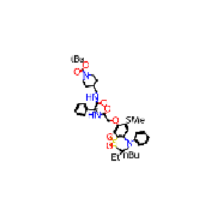 CCCCC1(CC)CN(c2ccccc2)c2cc(SC)c(OCC(=O)N[C@@H](C(=O)NCC3CCN(C(=O)OC(C)(C)C)CC3)c3ccccc3)cc2S(=O)(=O)C1